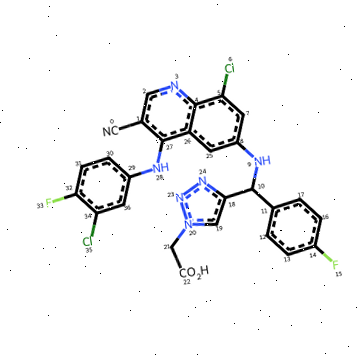 N#Cc1cnc2c(Cl)cc(NC(c3ccc(F)cc3)c3cn(CC(=O)O)nn3)cc2c1Nc1ccc(F)c(Cl)c1